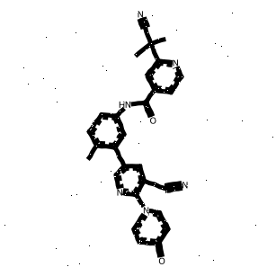 Cc1ccc(NC(=O)c2ccnc(C(C)(C)C#N)c2)cc1-c1cnc(-n2ccc(=O)cc2)c(C#N)c1